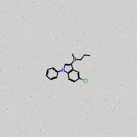 CCCB(C)c1cn(-c2ccccc2)c2ccc(Cl)cc12